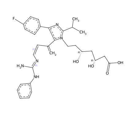 C=C(/C=C\N=C(/N)Nc1ccccc1)c1c(-c2ccc(F)cc2)nc(C(C)C)n1CC[C@@H](O)C[C@@H](O)CC(=O)O